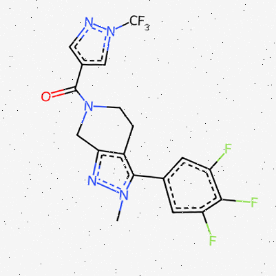 Cn1nc2c(c1-c1cc(F)c(F)c(F)c1)CCN(C(=O)c1cnn(C(F)(F)F)c1)C2